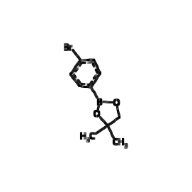 CC1(C)COB(c2ccc(Br)cc2)O1